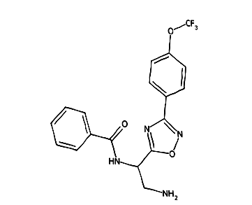 NCC(NC(=O)c1ccccc1)c1nc(-c2ccc(OC(F)(F)F)cc2)no1